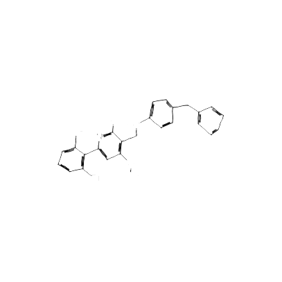 CCc1cccc(CC)c1-c1cc(OC(C)C)c(COc2ccc(Cc3ccccc3)cc2)c(C)n1